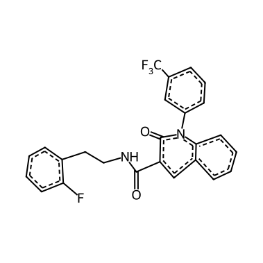 O=C(NCCc1ccccc1F)c1cc2ccccc2n(-c2cccc(C(F)(F)F)c2)c1=O